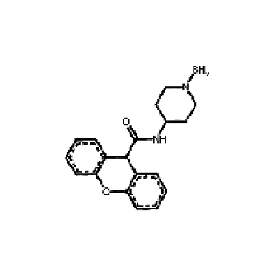 BN1CCC(NC(=O)C2c3ccccc3Oc3ccccc32)CC1